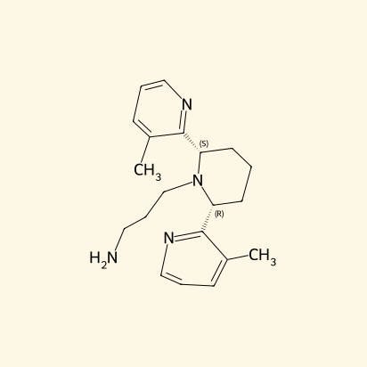 Cc1cccnc1[C@H]1CCC[C@@H](c2ncccc2C)N1CCCN